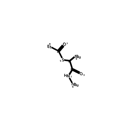 CCCCNC(=O)C(SC(=O)CC)C(C)(C)C